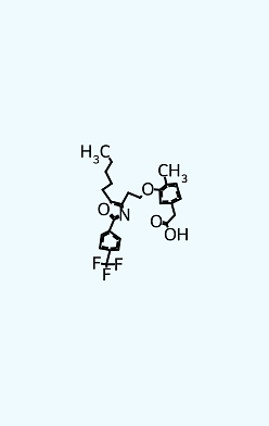 CCCCCc1oc(-c2ccc(C(F)(F)F)cc2)nc1CCOc1cc(CC(=O)O)ccc1C